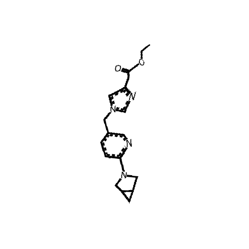 CCOC(=O)c1cn(Cc2ccc(N3CC4CC4C3)nc2)cn1